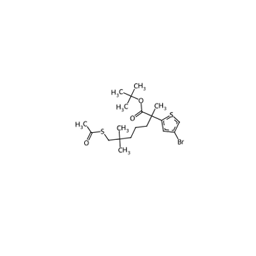 CC(=O)SCC(C)(C)CCCC(C)(C(=O)OC(C)(C)C)c1cc(Br)cs1